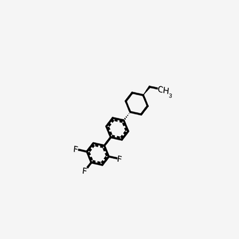 CC[C@H]1CC[C@H](c2ccc(-c3cc(F)c(F)cc3F)cc2)CC1